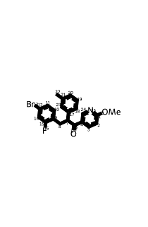 COc1ccc(C(=O)C(Cc2ccc(Br)cc2F)c2cccc(C)c2)cn1